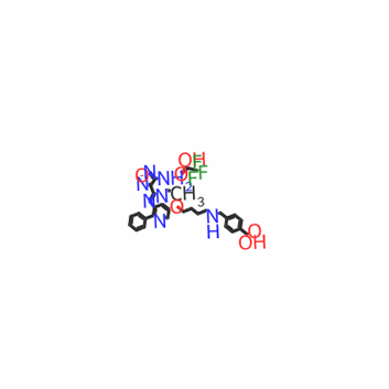 CCn1c(-c2nonc2N)nc2c(-c3ccccc3)ncc(OCCCCNCc3ccc(C(=O)O)cc3)c21.O=C(O)C(F)(F)F